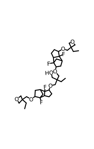 CCC1(COC2CC3CC2(F)C2CCC(OCC(CC)(CO)COC4CC5CC4(F)C4CCC(OCC6(CC)COC6)C54F)C32F)COC1